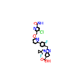 CNC(=O)c1cc(Cl)c(COc2cccc(-c3ccc(Cc4nc5ccc(C(=O)O)cc5n4CC4(CF)CC4)c(F)c3)n2)cn1